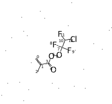 C=C(C)C(=O)OOC(F)(F)C(F)Cl